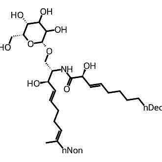 CCCCCCCCCCCCCC/C=C/[C@H](O)C(=O)N[C@@H](CO[C@@H]1O[C@H](CO)[C@H](O)C(O)C1O)[C@H](O)/C=C/CC/C=C(\C)CCCCCCCCC